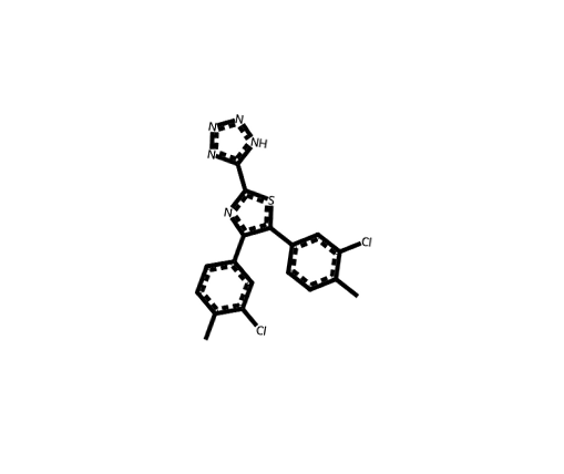 Cc1ccc(-c2nc(-c3nnn[nH]3)sc2-c2ccc(C)c(Cl)c2)cc1Cl